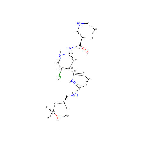 CC1(C)C[C@@H](CNc2cccc(-c3cc(NC(=O)[C@@H]4CCCNC4)ncc3Cl)n2)CCO1